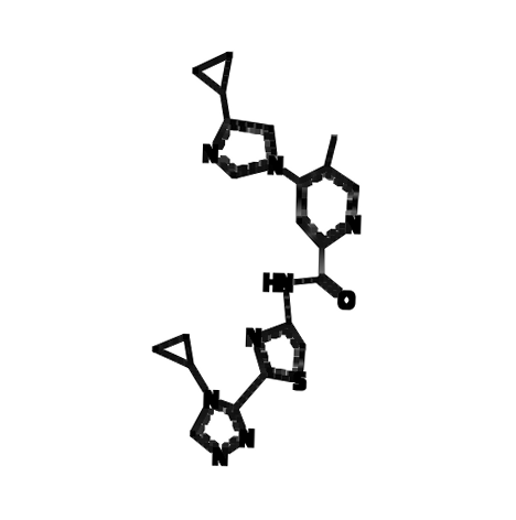 Cc1cnc(C(=O)Nc2csc(-c3nncn3C3CC3)n2)cc1-n1cnc(C2CC2)c1